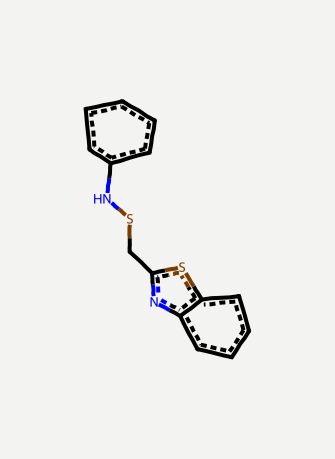 c1ccc(NSCc2nc3ccccc3s2)cc1